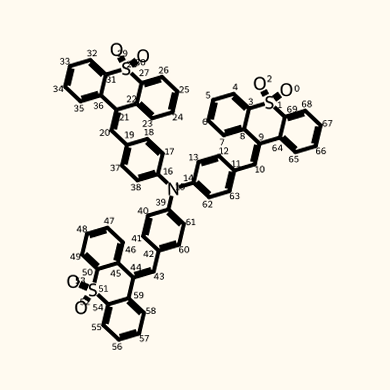 O=S1(=O)c2ccccc2C(=Cc2ccc(N(c3ccc(C=C4c5ccccc5S(=O)(=O)c5ccccc54)cc3)c3ccc(C=C4c5ccccc5S(=O)(=O)c5ccccc54)cc3)cc2)c2ccccc21